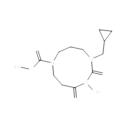 CN1C(=O)CCN(C(=O)OC(C)(C)C)CCCN(CC2CC2)C1=O